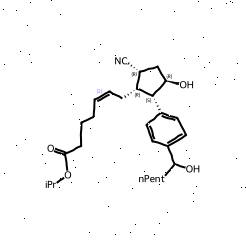 CCCCCC(O)c1ccc([C@@H]2[C@H](C/C=C\CCCC(=O)OC(C)C)[C@H](C#N)C[C@H]2O)cc1